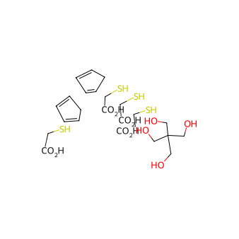 C1=CCC=C1.C1=CCC=C1.O=C(O)CS.O=C(O)CS.O=C(O)CS.O=C(O)CS.OCC(CO)(CO)CO